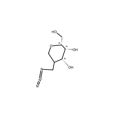 [N-]=[N+]=NCC1CO[C@H](CO)[C@H](O)[C@@H]1O